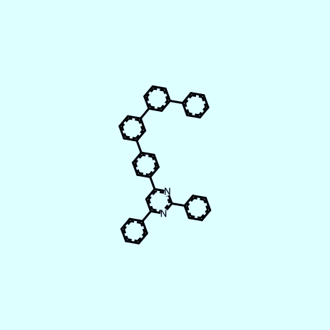 c1ccc(-c2cccc(-c3cccc(-c4ccc(-c5cc(-c6ccccc6)nc(-c6ccccc6)n5)cc4)c3)c2)cc1